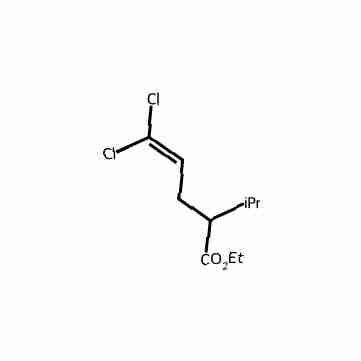 CCOC(=O)C(CC=C(Cl)Cl)C(C)C